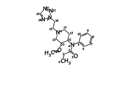 CCC(=O)N(c1ccccc1)C1CCN(CCn2ncnn2)CC1OC